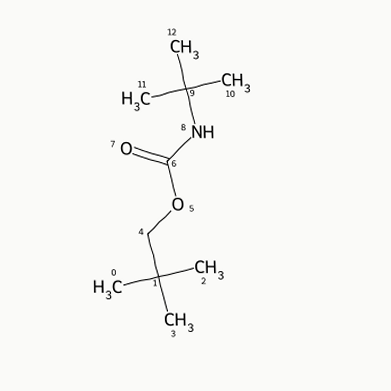 CC(C)(C)COC(=O)NC(C)(C)C